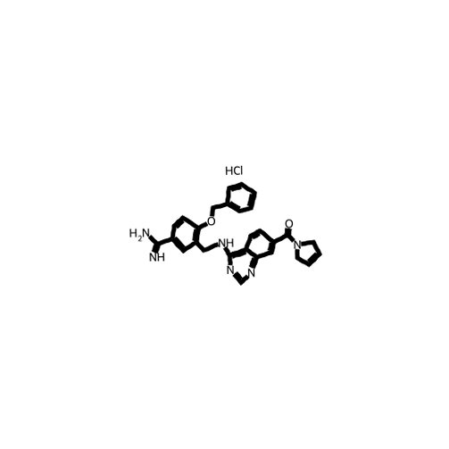 Cl.N=C(N)c1ccc(OCc2ccccc2)c(CNc2ncnc3cc(C(=O)N4CC=CC4)ccc23)c1